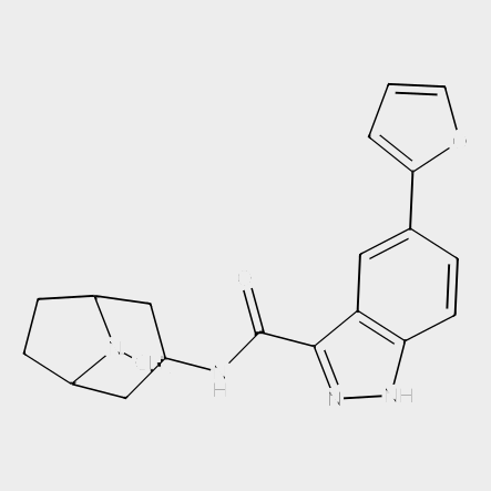 CN1C2CCC1CC(NC(=O)c1n[nH]c3ccc(-c4ccco4)cc13)C2